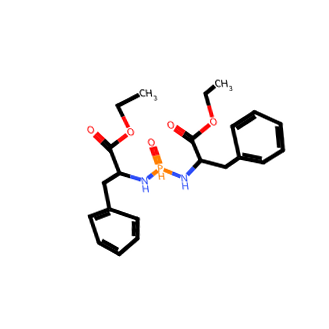 CCOC(=O)C(Cc1ccccc1)N[PH](=O)NC(Cc1ccccc1)C(=O)OCC